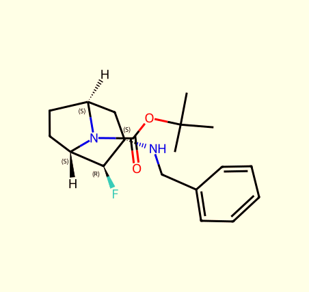 CC(C)(C)OC(=O)N1[C@H]2CC[C@H]1[C@H](F)[C@@H](NCc1ccccc1)C2